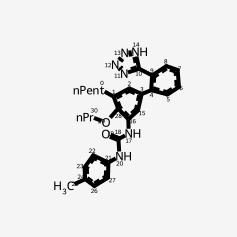 CCCCCc1cc(-c2ccccc2-c2nnn[nH]2)cc(NC(=O)Nc2ccc(C)cc2)c1OCCC